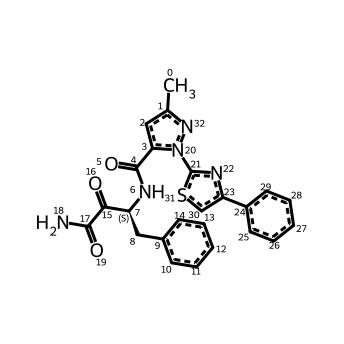 Cc1cc(C(=O)N[C@@H](Cc2ccccc2)C(=O)C(N)=O)n(-c2nc(-c3ccccc3)cs2)n1